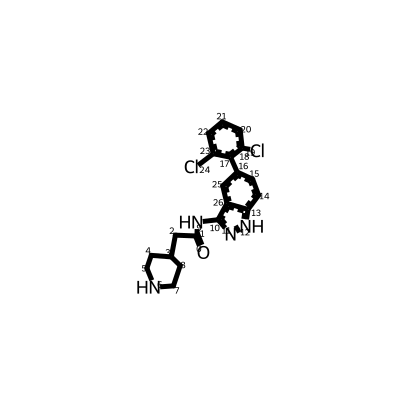 O=C(CC1CCNCC1)Nc1n[nH]c2ccc(-c3c(Cl)cccc3Cl)cc12